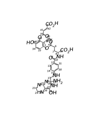 CC(C)c1c(OC(=O)CCC(NC(=O)c2ccc(NCC3(N)N=c4nccnc4=C(O)N3)cc2)C(=O)O)ccc(O)c1OC(=O)C=CC(=O)O